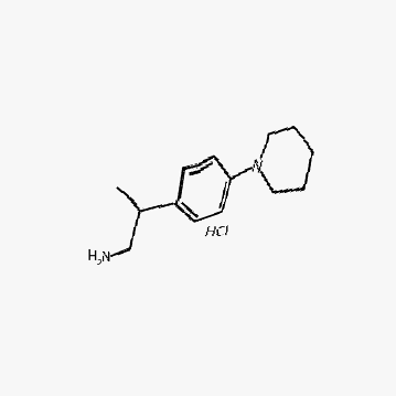 CC(CN)c1ccc(N2CCCCC2)cc1.Cl